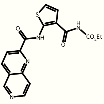 CCOC(=O)NC(=O)c1ccsc1NC(=O)c1ccc2cnccc2n1